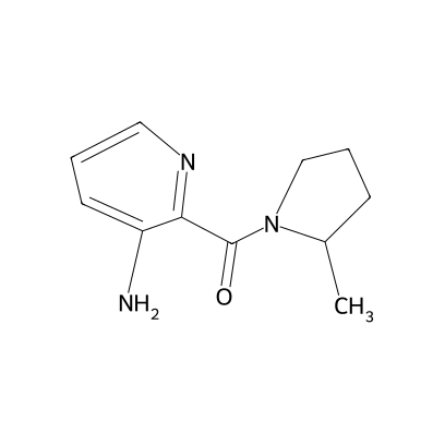 CC1CCCN1C(=O)c1ncccc1N